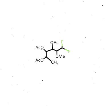 COC(C(F)F)C(OC(C)=O)C(OC(C)=O)C(C)OC(C)=O